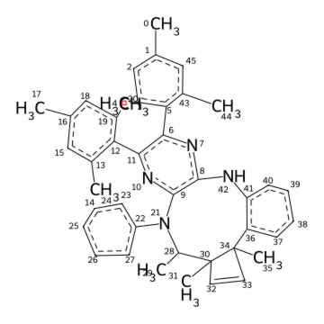 Cc1cc(C)c(-c2nc3c(nc2-c2c(C)cc(C)cc2C)N(c2ccccc2)C(C)C2(C)C=CC2(C)c2ccccc2N3)c(C)c1